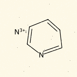 [N+3].c1ccncc1